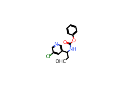 O=CCC(NC(=O)Oc1ccccc1)c1cncc(Cl)c1